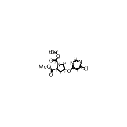 COC(=O)[C@@H]1C[C@@H](Oc2cc(Cl)ncn2)CN1C(=O)OC(C)(C)C